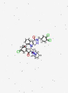 CCc1cccc2c(C(=O)NCc3ccc(Cl)c(Cl)c3)cn(CCCN3C4CCC3CN(CC(=O)c3cccc(Cl)c3)C4)c12